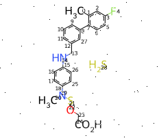 Cc1cc(F)ccc1-c1cccc(CNc2ccc(N(C)SOCC(=O)O)cc2)c1.S